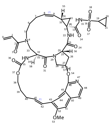 C=CC(=O)N1CCC/C=C\[C@@H]2C[C@@]2(C(=O)NS(=O)(=O)C2CC2)NC(=O)[C@@H]2C[C@@H]3CN2C(=O)[C@H](C1)NC(=O)OCCC/C=C/c1cc2c(nccc2cc1OC)O3